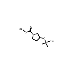 CC(C)(C)OC(=O)N1CCC(O[Si](C)(C)C(C)(C)C)C1